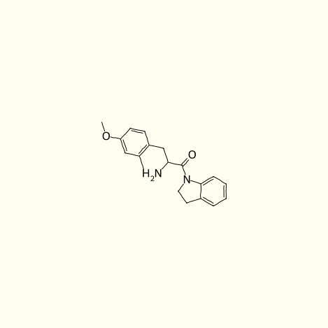 COc1ccc(CC(N)C(=O)N2CCc3ccccc32)c(C)c1